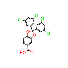 O=C(O)c1ccc2c(c1)OC(c1cc(Cl)cc(Cl)c1)(c1cc(Cl)cc(Cl)c1)O2